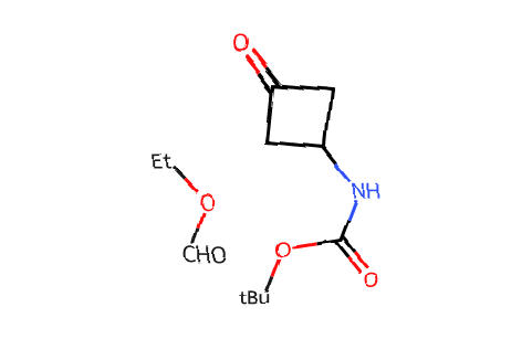 CC(C)(C)OC(=O)NC1CC(=O)C1.CCOC=O